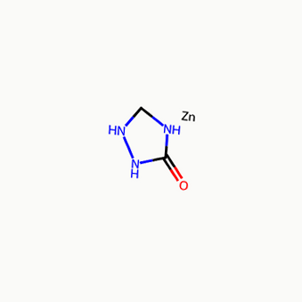 O=C1NCNN1.[Zn]